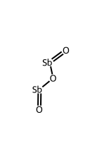 [O]=[Sb][O][Sb]=[O]